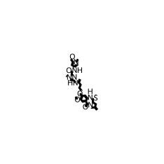 C=C1CC2C(SC)Nc3cc(OCCCC(=C)Nc4cn(C)c(C(=O)Nc5cc(C=O)n(C)c5)n4)c(OC)cc3C(=O)N2C1